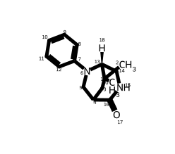 CC1(C)CC2CN(c3ccccc3)[C@@H]1CNC2=O